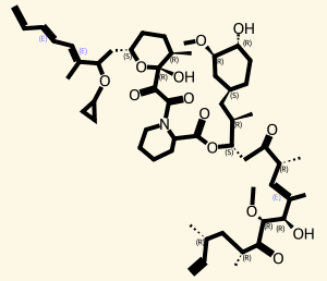 C#C[C@H](C)C[C@@H](C)C(=O)[C@H](OC)[C@H](O)/C(C)=C/[C@@H](C)C(=O)C[C@H](OC(=O)C1CCCCN1C(=O)C(=O)[C@]1(O)O[C@H](CC(OC2CC2)/C(C)=C/C=C/C=C)CC[C@H]1C)[C@H](C)C[C@@H]1CC[C@@H](O)[C@H](OC)C1